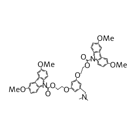 COc1ccc2c(c1)c1cc(OC)ccc1n2C(=O)OCCOc1cc(CN(C)C)cc(OCCOC(=O)n2c3ccc(OC)cc3c3cc(OC)ccc32)c1